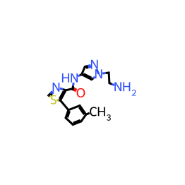 Cc1cccc(-c2scnc2C(=O)Nc2cnn(CCN)c2)c1